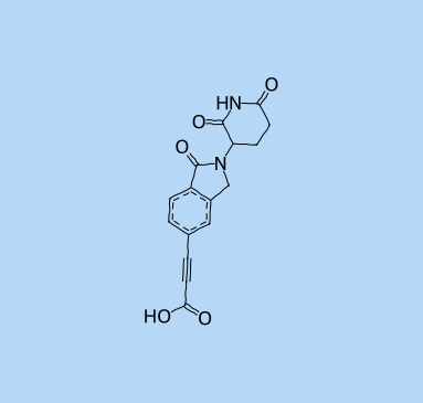 O=C(O)C#Cc1ccc2c(c1)CN(C1CCC(=O)NC1=O)C2=O